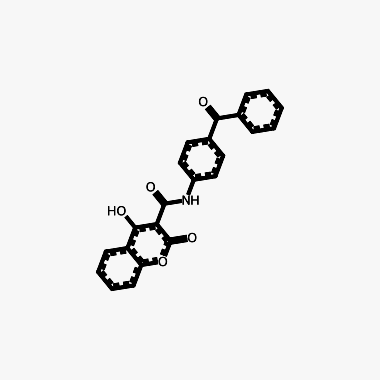 O=C(c1ccccc1)c1ccc(NC(=O)c2c(O)c3ccccc3oc2=O)cc1